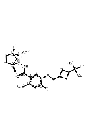 CCCCC(I)(CCCC)C1CC(COc2cc(C(=O)N[C@@H]3[C@@H]4CC[C@@H](C4)[C@@H]3C=O)c(OC)cc2F)C1